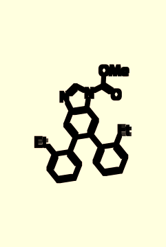 CCc1ccccc1-c1cc2ncn(C(=O)OC)c2cc1-c1ccccc1CC